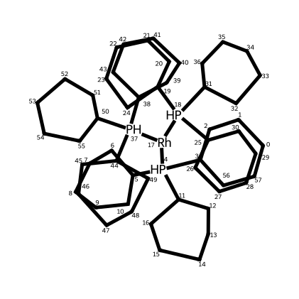 C1CCC([PH](C2CCCCC2)(C2CCCCC2)[Rh]([PH](C2CCCCC2)(C2CCCCC2)C2CCCCC2)[PH](C2CCCCC2)(C2CCCCC2)C2CCCCC2)CC1